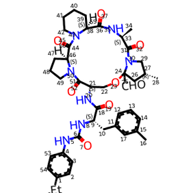 CCc1ccc(NC(=O)N[C@@H](Cc2cccc(C)c2)C(=O)N[C@H]2COC3(C=O)C[C@@H](C)CN3C(=O)[C@H](C)NC(=O)[C@@H]3CCCCN3C(=O)[C@@H]3CCCN3C2=O)cc1